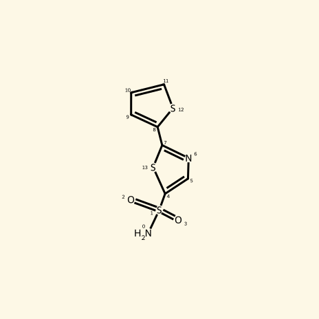 NS(=O)(=O)c1cnc(-c2cccs2)s1